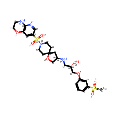 CNS(=O)(=O)c1cccc(OC[C@@H](O)CN[C@H]2COC3(CCN(S(=O)(=O)c4cnc5c(c4)OCCN5)CC3)C2)c1